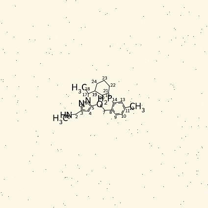 CNCc1cc(OCc2ccc(C)cc2P)n(C(C)C2CCCCC2)n1